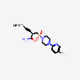 CCCCCC#CC(CS(=O)(=O)N1CCN(c2ccc(C(F)(F)F)cn2)CC1)C(N)=O